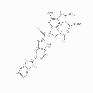 COC(=O)c1c(C(F)(F)F)[nH]c2c(O)cc3c(c12)C(CCl)CN3C(=O)c1cc2cc(-c3cc4ccccc4o3)ccc2[nH]1